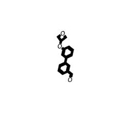 O=Cc1cccc(-c2cccc(OC3COC3)c2)c1